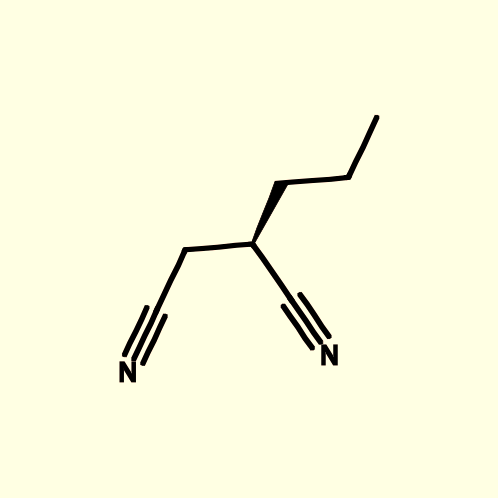 CCC[C@@H](C#N)CC#N